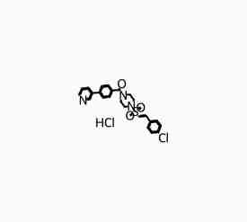 Cl.O=C(c1ccc(-c2cccnc2)cc1)N1CCN(S(=O)(=O)C=Cc2ccc(Cl)cc2)CC1